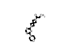 C=CC(=O)N1CC2(C1)CN(c1ncnc(N3CCOCC3)n1)C2